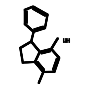 Cc1ccc(C)c2c1CCC2c1ccccc1.[LiH]